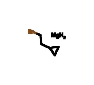 BrCCC1CC1.[MgH2]